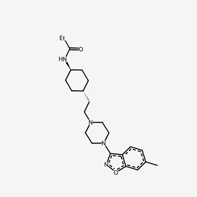 CCC(=O)N[C@H]1CC[C@H](CCN2CCN(c3noc4cc(C)ccc34)CC2)CC1